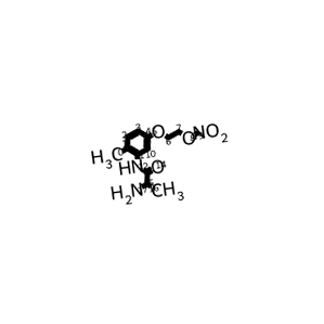 Cc1ccc(OCCO[N+](=O)[O-])cc1NC(=O)C(C)N